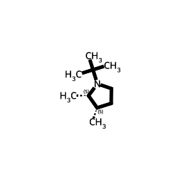 C[C@H]1CCN(C(C)(C)C)[C@H]1C